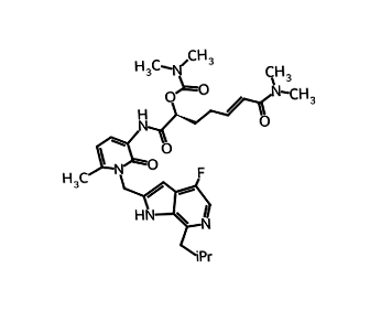 Cc1ccc(NC(=O)[C@H](CC/C=C/C(=O)N(C)C)OC(=O)N(C)C)c(=O)n1Cc1cc2c(F)cnc(CC(C)C)c2[nH]1